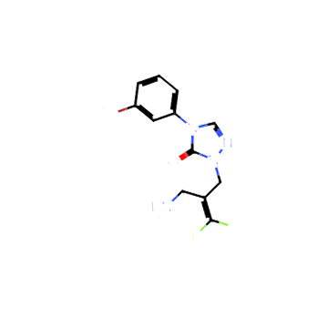 NCC(Cn1ncn(-c2cccc(Br)c2)c1=O)=C(F)F